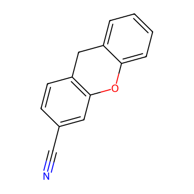 N#Cc1ccc2c(c1)Oc1ccccc1C2